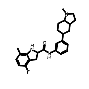 Cc1ccc(F)c2c1NC(C(=O)Nc1cccc(C3CCC4C(CCN4C)C3)c1)C2